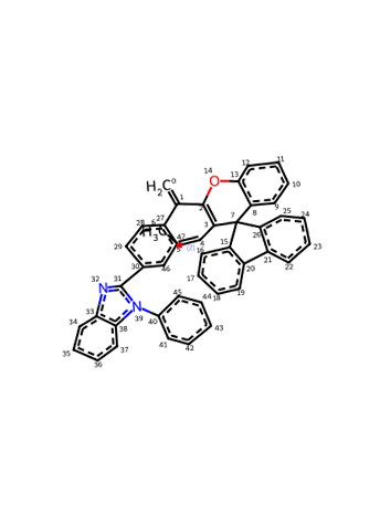 C=C(C1=C(/C=C\C)C2(c3ccccc3O1)c1ccccc1-c1ccccc12)c1ccc(-c2nc3ccccc3n2-c2ccccc2)cc1